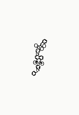 O=C(c1cc2ccccc2oc1=O)N1CCN(c2ccc3c4c(cccc24)C(=O)N(C2=CCN(Cc4ccccc4)C=C2)C3=O)CC1